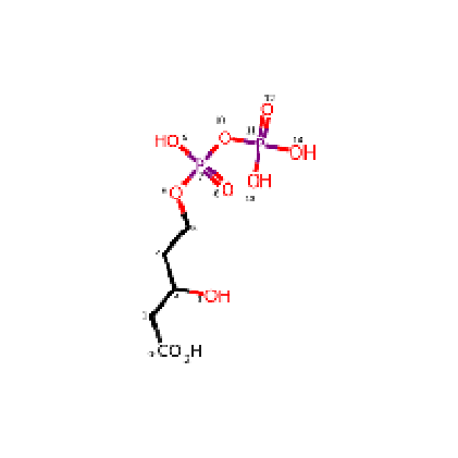 O=C(O)CC(O)CCOP(=O)(O)OP(=O)(O)O